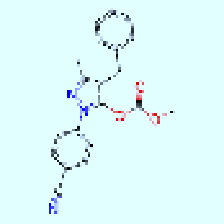 COC(=O)Oc1c(Cc2ccccc2)c(C)nn1-c1ccc(C#N)cc1